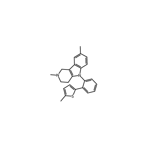 Cc1ccc2c(c1)c1c(n2-c2ccccc2-c2ccc(C)s2)CCN(C)C1